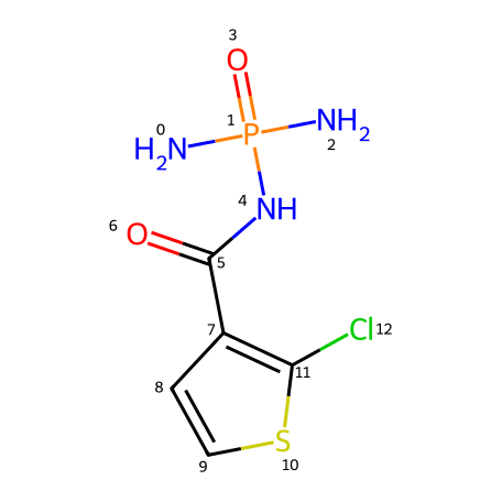 NP(N)(=O)NC(=O)c1ccsc1Cl